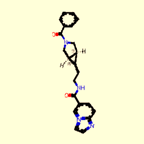 O=C(NCCC1[C@H]2CN(C(=O)c3ccccc3)C[C@@H]12)c1ccc2nccn2c1